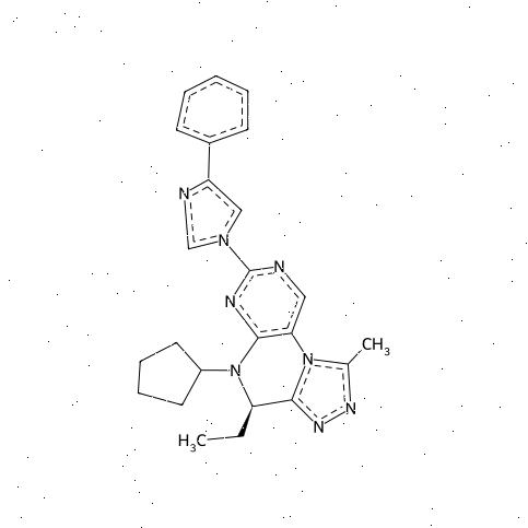 CC[C@@H]1c2nnc(C)n2-c2cnc(-n3cnc(-c4ccccc4)c3)nc2N1C1CCCC1